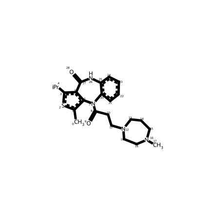 Cc1sc(C(C)C)c2c1N(C(=O)CCN1CCCN(C)CC1)c1ccccc1NC2=O